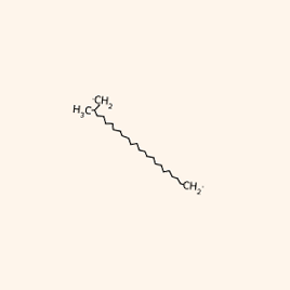 [CH2]CCCCCCCCCCCCCCCCCCCCCC(C)C[CH2]